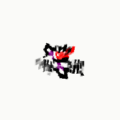 CNC(=O)[C@@](O)([C@H](C(=O)O)P1C(C)CCC1C)P1C(C)CCC1C